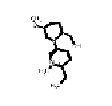 CCC(/C=C\C(=C/N)N1C[C@@H](OC)CC[C@H]1CO)SC